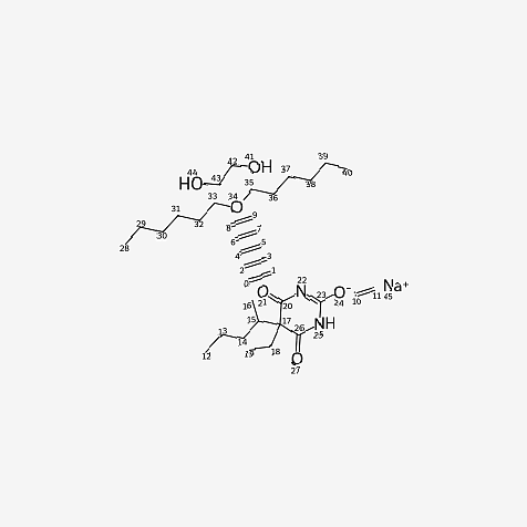 C=C.C=C.C=C.C=C.C=C.C=C.CCCC(C)C1(CC)C(=O)N=C([O-])NC1=O.CCCCCCOCCCCCC.OCCO.[Na+]